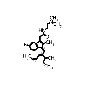 C\C=C/C=C(/C=C1/C(C)=C(CC(=O)NCCN(C)C)c2cc(F)ccc21)C(C)CC